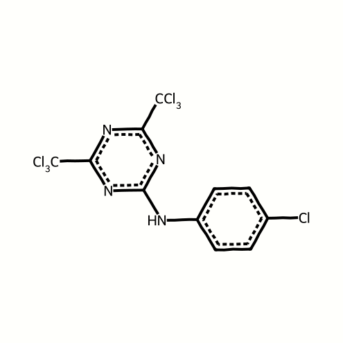 Clc1ccc(Nc2nc(C(Cl)(Cl)Cl)nc(C(Cl)(Cl)Cl)n2)cc1